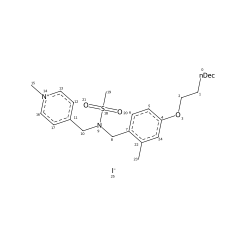 CCCCCCCCCCCCOc1ccc(CN(Cc2cc[n+](C)cc2)S(C)(=O)=O)c(C)c1.[I-]